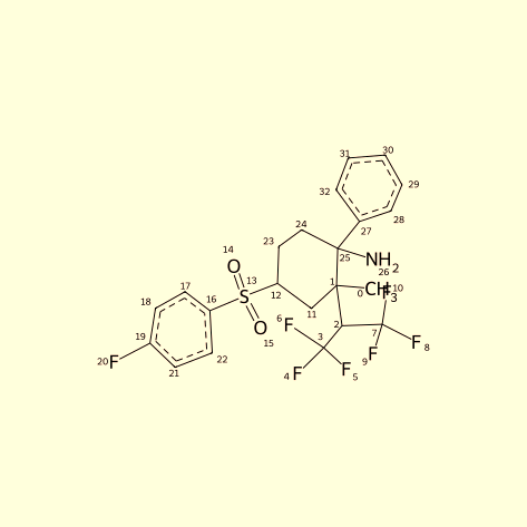 CC1(C(C(F)(F)F)C(F)(F)F)CC(S(=O)(=O)c2ccc(F)cc2)CCC1(N)c1ccccc1